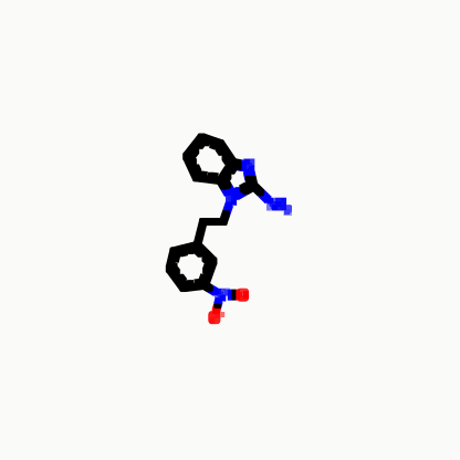 Nc1nc2ccccc2n1CCc1cccc([N+](=O)[O-])c1